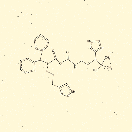 CC(C)(C)C(CCNC(=O)OC(=O)N(CCCc1c[nH]cn1)C(c1ccccc1)c1ccccc1)c1c[nH]cn1